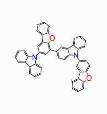 c1ccc2c(c1)oc1ccc(-n3c4ccccc4c4cc(-c5cc(-n6c7ccccc7c7ccccc76)cc6c5oc5ccccc56)ccc43)cc12